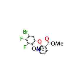 COC(=O)c1cccnc1Oc1cc(Br)c(F)c(F)c1OC